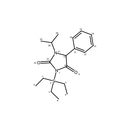 CC[Si](CC)(CC)N1C(=O)C(c2ccccc2)N(C(C)C)C1=O